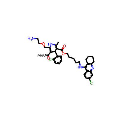 COC(=O)C1=C(COCCN)NC(C)=C(C(=O)OCCCCCNc2c3c(nc4cc(Cl)ccc24)CCCC3)C1c1ccccc1Cl